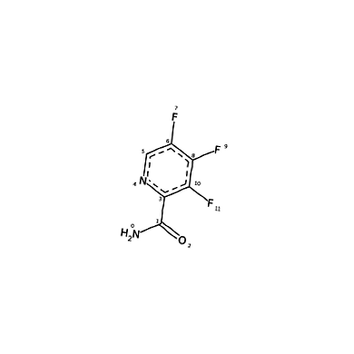 NC(=O)c1ncc(F)c(F)c1F